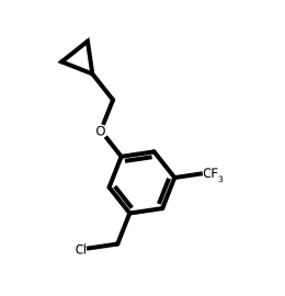 FC(F)(F)c1cc(CCl)cc(OCC2CC2)c1